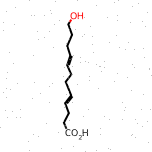 O=C(O)CC/C=C/CC/C=C/CCCO